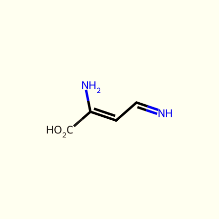 N=C/C=C(\N)C(=O)O